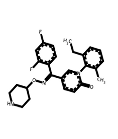 CCc1cccc(C)c1-n1cc(C(=NOC2CCNCC2)c2ccc(F)cc2F)ccc1=O